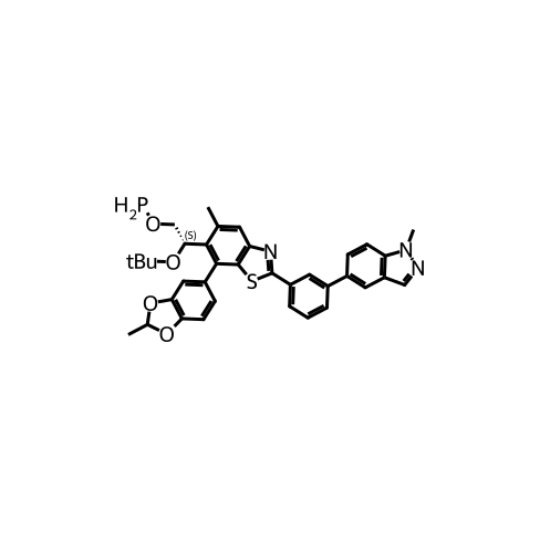 Cc1cc2nc(-c3cccc(-c4ccc5c(cnn5C)c4)c3)sc2c(-c2ccc3c(c2)OC(C)O3)c1[C@@H](COP)OC(C)(C)C